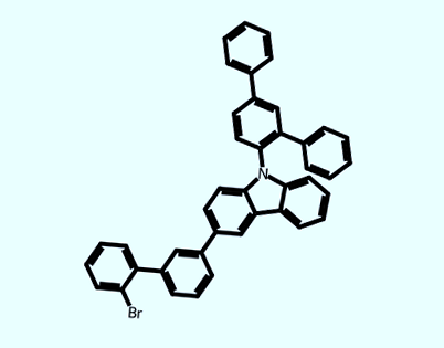 Brc1ccccc1-c1cccc(-c2ccc3c(c2)c2ccccc2n3-c2ccc(-c3ccccc3)cc2-c2ccccc2)c1